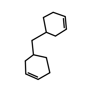 C1=CCC(CC2CC=CCC2)CC1